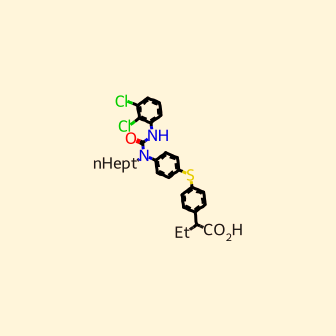 CCCCCCCN(C(=O)Nc1cccc(Cl)c1Cl)c1ccc(Sc2ccc(C(CC)C(=O)O)cc2)cc1